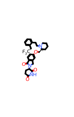 O=C1CCC(N2Cc3cc(OC[C@@H]4CCCCN4CCc4ccccc4CC(F)(F)F)ccc3C2=O)C(=O)N1